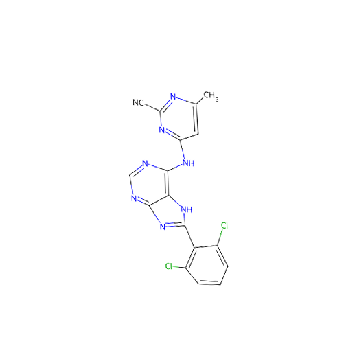 Cc1cc(Nc2ncnc3nc(-c4c(Cl)cccc4Cl)[nH]c23)nc(C#N)n1